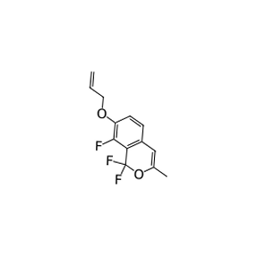 C=CCOc1ccc2c(c1F)C(F)(F)OC(C)=C2